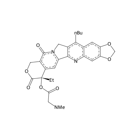 CCCCc1c2c(nc3cc4c(cc13)OCO4)-c1cc3c(c(=O)n1C2)COC(=O)[C@@]3(CC)OC(=O)CNC